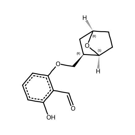 O=Cc1c(O)cccc1OC[C@H]1C[C@H]2CC[C@@H]1O2